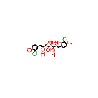 COc1ccc(C=C(O)[C@@H](O)[C@@H](O)[C@H](O)[C@@H](O)C(O)=Cc2ccc(OC)c(Cl)c2)cc1Cl